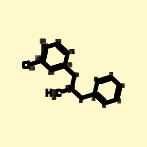 CN(Cc1ccccc1)Cc1ccnc(Cl)c1